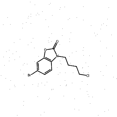 O=c1oc2cc(Br)ccc2n1CCCCCl